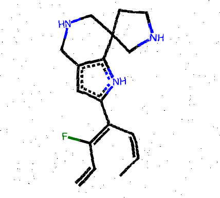 C=C/C(F)=C(\C=C/C)c1cc2c([nH]1)C1(CCNC1)CNC2